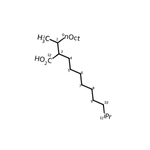 CCCCCCCCC(C)C(CCCCCCCC(C)C)C(=O)O